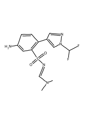 CN(C)C=NS(=O)(=O)c1cc(N)ccc1-c1cnn(C(F)F)c1